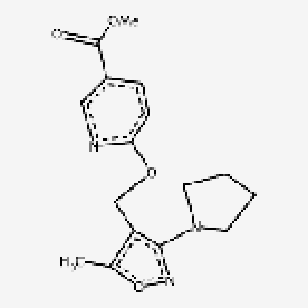 COC(=O)c1ccc(OCc2c(N3CCCC3)noc2C)nc1